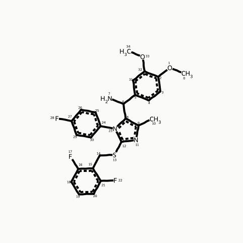 COc1ccc(C(N)c2c(C)nc(SCc3c(F)cccc3F)n2-c2ccc(F)cc2)cc1OC